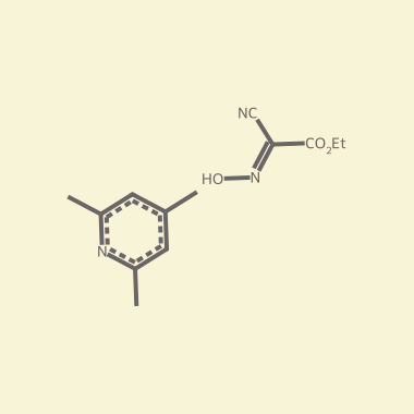 CCOC(=O)C(C#N)=NO.Cc1cc(C)nc(C)c1